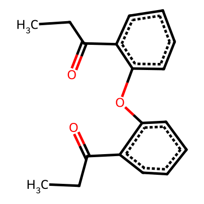 CCC(=O)c1ccccc1Oc1ccccc1C(=O)CC